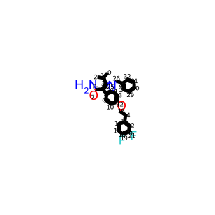 CC(C)c1c(C(N)=O)c2ccc(OCCc3ccc(F)c(F)c3)cc2n1Cc1ccccc1